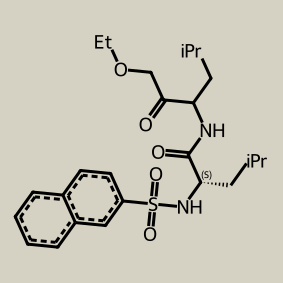 CCOCC(=O)C(CC(C)C)NC(=O)[C@H](CC(C)C)NS(=O)(=O)c1ccc2ccccc2c1